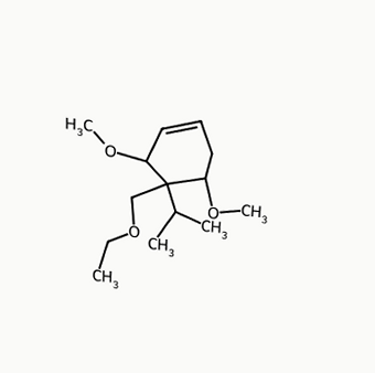 CCOCC1(C(C)C)C(OC)C=CCC1OC